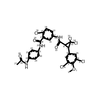 COc1c(Cl)cc(C2C(C(=O)Nc3ccc(Cl)c(C(=O)Nc4ccc(NC(C)=O)cc4)c3)C2(Cl)Cl)cc1Cl